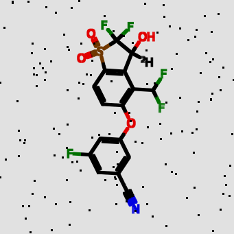 [2H]C1(O)c2c(ccc(Oc3cc(F)cc(C#N)c3)c2C(F)F)S(=O)(=O)C1(F)F